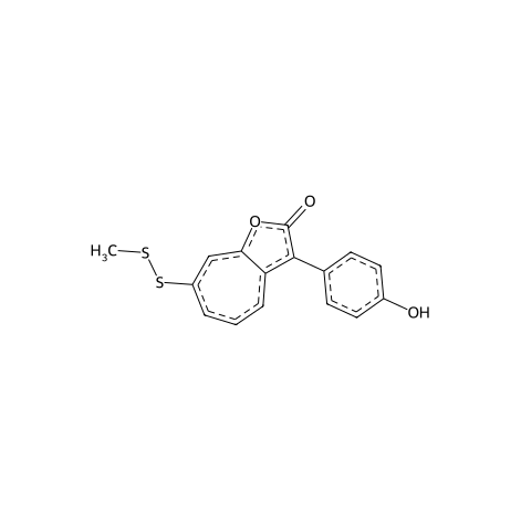 CSSc1cccc2c(-c3ccc(O)cc3)c(=O)oc-2c1